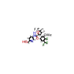 COc1c([C@@H]2[C@@H](C(=O)Nc3ccc(CO)nc3)O[C@](C)(C(F)(F)F)[C@@H]2C)ccc(C(F)F)c1F